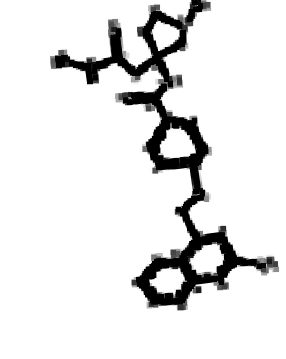 Cc1cc(COc2ccc(C(=O)NC3(CC(=O)NO)CC[S+]([O-])C3)cc2)c2ccccc2n1